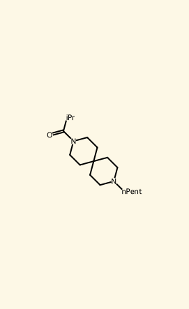 CCCCCN1CCC2(CC1)CCN(C(=O)C(C)C)CC2